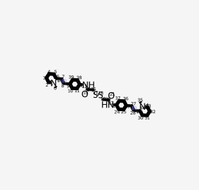 C[n+]1ccccc1/C=C/c1ccc(NC(=O)CSSCC(=O)Nc2ccc(/C=C/c3cccc[n+]3C)cc2)cc1